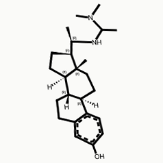 CC(N[C@H](C)[C@@H]1CC[C@@H]2[C@H]3CCc4cc(O)ccc4[C@@H]3CC[C@]21C)N(C)C